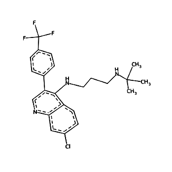 CC(C)(C)NCCCNc1c(-c2ccc(C(F)(F)F)cc2)cnc2cc(Cl)ccc12